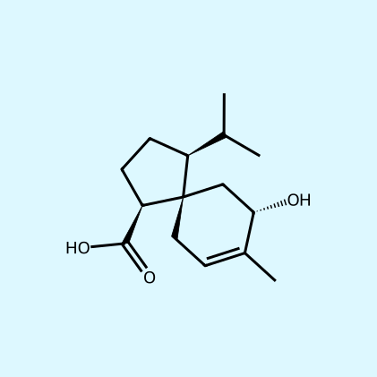 CC1=CC[C@@]2(C[C@@H]1O)[C@@H](C(=O)O)CC[C@H]2C(C)C